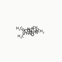 CCOc1cc2nc(CNC)nc(Nc3cccc(-c4csc(C)n4)c3)c2cc1OCC